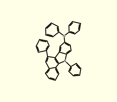 c1ccc(-c2cc3ccccc3c3c2c2cc(N(c4ccccc4)c4ccccc4)ccc2n3-c2ccccc2)cc1